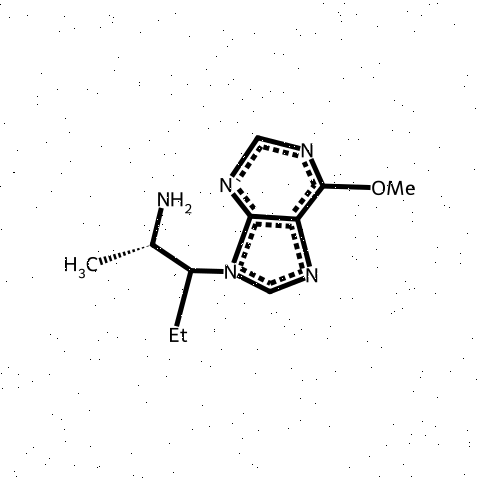 CCC([C@H](C)N)n1cnc2c(OC)ncnc21